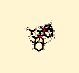 Cc1nc(-c2ccnn2C)c2c(n1)[C@H]1CCC[C@@H](C2)N1C(=O)c1cccc(Cl)c1Cl